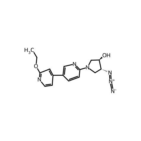 CCOc1cc(-c2ccc(N3C[C@@H](O)[C@H](N=[N+]=[N-])C3)nc2)ccn1